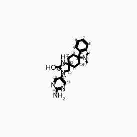 CN(C)C1(c2ccccc2)CCC2(CC1)CN(c1cnc(N)nc1)C(O)N2